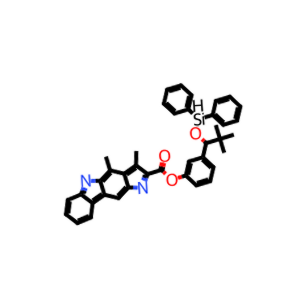 CC1=c2c(cc3c(c2C)N=c2ccccc2=3)N=C1C(=O)Oc1cccc(C(O[SiH](c2ccccc2)c2ccccc2)C(C)(C)C)c1